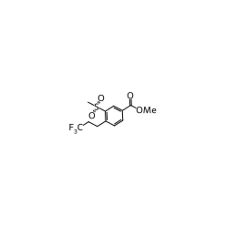 COC(=O)c1ccc(CCC(F)(F)F)c(S(C)(=O)=O)c1